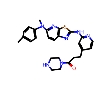 Cc1ccc(N(C)c2ccc3nc(Nc4cc(CCC(=O)N5CCNCC5)ccn4)sc3n2)cc1